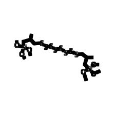 CO[Si](CC(C)CSSSSSSSSCC(C)C[Si](OC)(OC)OC)(OC)OC